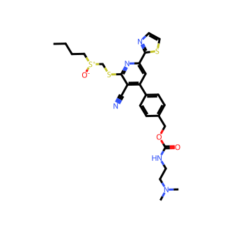 CCCC[S+]([O-])CSc1nc(-c2nccs2)cc(-c2ccc(COC(=O)NCCN(C)C)cc2)c1C#N